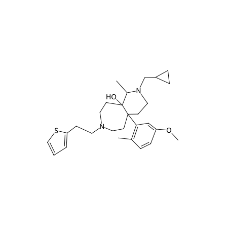 COc1ccc(C)c(C23CCN(CCc4cccs4)CCC2(O)C(C)N(CC2CC2)CC3)c1